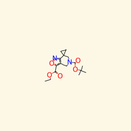 CCOC(=O)c1onc2c1CN(C(=O)OC(C)(C)C)CC21CC1